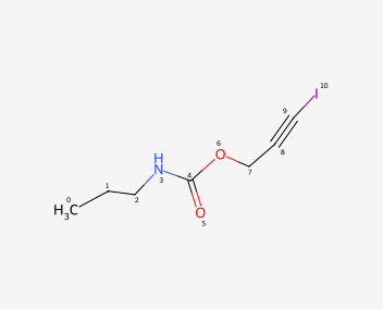 CCCNC(=O)OCC#CI